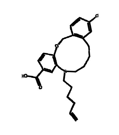 C=CCCCCN1CCCCc2cc(Cl)ccc2COc2ccc(C(=O)O)cc21